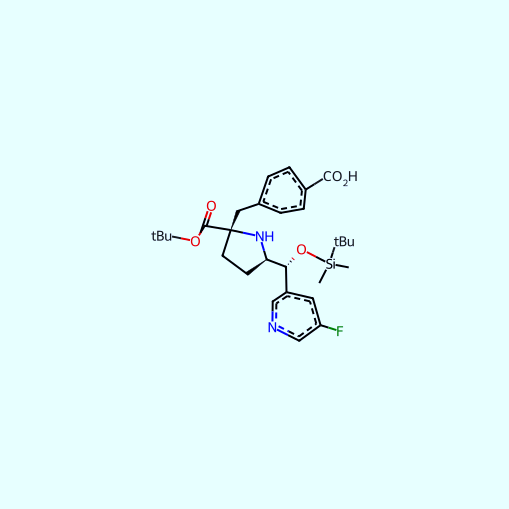 CC(C)(C)OC(=O)[C@@]1(Cc2ccc(C(=O)O)cc2)CC[C@H]([C@H](O[Si](C)(C)C(C)(C)C)c2cncc(F)c2)N1